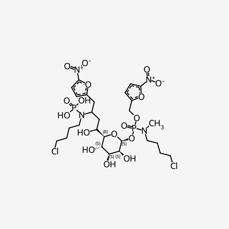 CN(CCCCCl)P(=O)(OCc1ccc([N+](=O)[O-])o1)O[C@@H]1O[C@H](C(O)CC(Cc2ccc([N+](=O)[O-])o2)N(CCCCCl)P(=O)(O)O)[C@@H](O)[C@H](O)[C@@H]1O